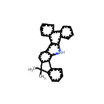 CC1(C)c2ccccc2-c2c1ccc1c2[nH]c2c3ccccc3c3ccccc3c12